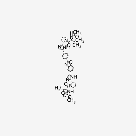 COC(=O)N[C@H](C(=O)N1CCC[C@H]1c1ncc(-c2ccc3oc(-c4ccc(-c5cnc(C6CCCN6C(=O)[C@@H](NC(C)=O)C(C)C)[nH]5)cc4)nc3c2)[nH]1)C(C)C